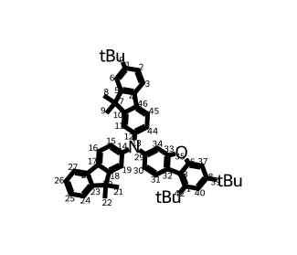 CC(C)(C)c1ccc2c(c1)C(C)(C)c1cc(N(c3ccc4c(c3)C(C)(C)c3ccccc3-4)c3ccc4c(c3)oc3cc(C(C)(C)C)cc(C(C)(C)C)c34)ccc1-2